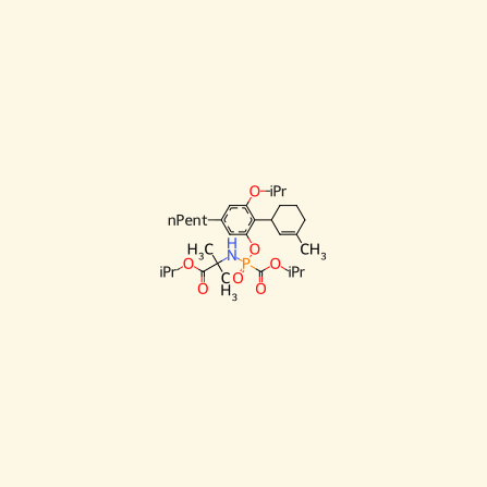 CCCCCc1cc(OC(C)C)c(C2C=C(C)CCC2)c(OP(=O)(NC(C)(C)C(=O)OC(C)C)C(=O)OC(C)C)c1